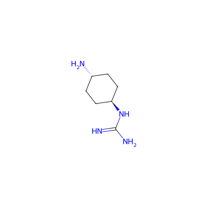 N=C(N)N[C@H]1CC[C@H](N)CC1